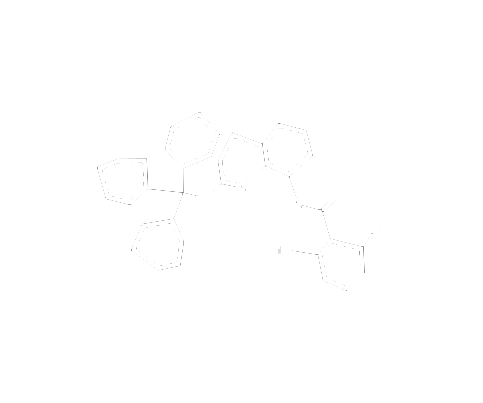 CC(C)c1cccc(C(C)C)c1C(=O)Nc1cccc2cc[c]([Hf][C](c3ccccc3)(c3ccccc3)c3ccccc3)nc12